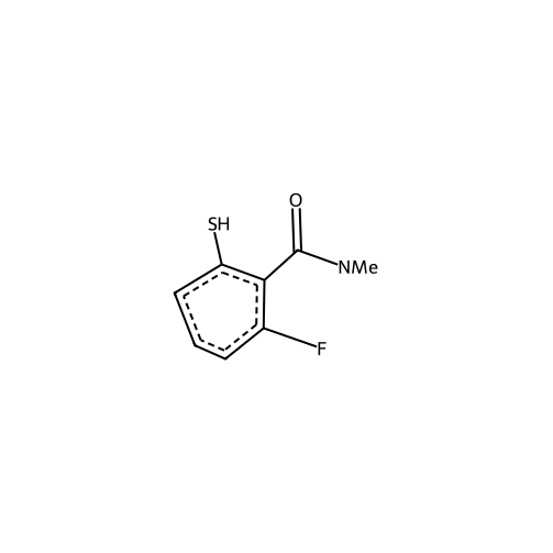 CNC(=O)c1c(F)cccc1S